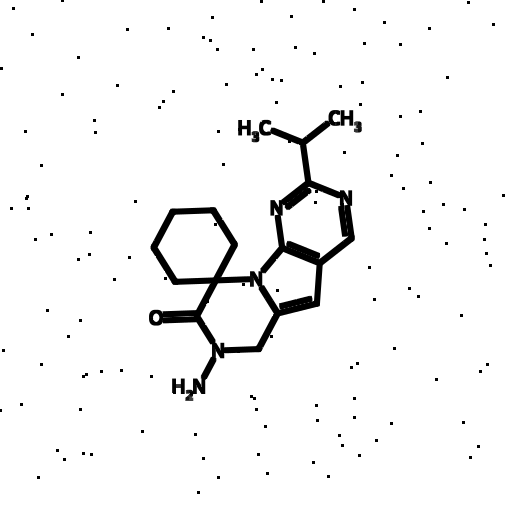 CC(C)c1ncc2cc3n(c2n1)C1(CCCCC1)C(=O)N(N)C3